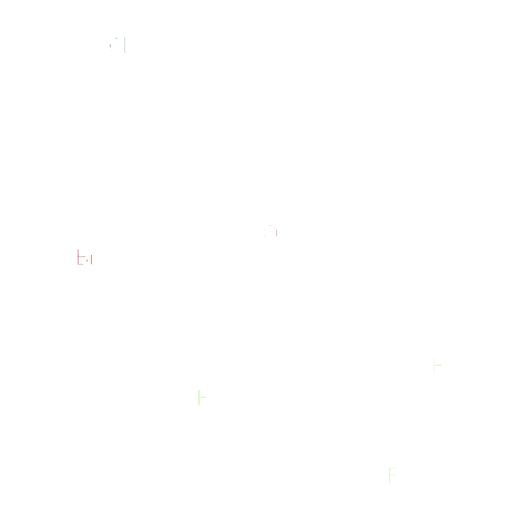 Fc1cc(F)c(COc2ccc(Cl)cc2CBr)cc1F